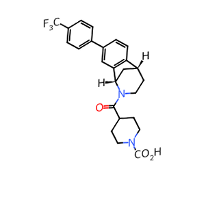 O=C(O)N1CCC(C(=O)N2CC[C@@H]3C[C@H]2c2cc(-c4ccc(C(F)(F)F)cc4)ccc23)CC1